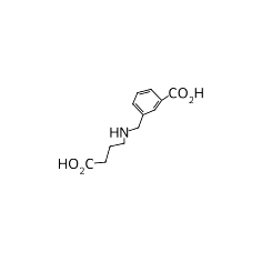 O=C(O)CCCNCc1cccc(C(=O)O)c1